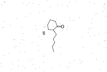 C#C.CCCCCC1CCCCC1=O